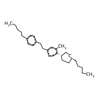 CCCCCc1ccc(CCc2ccc([C@H]3CC[C@H](CCCCC)CC3)c(C)c2)cc1